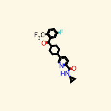 O=C(NC1CC1)c1ccc(C2CCC(C(=O)c3cc(F)ccc3C(F)(F)F)CC2)cn1